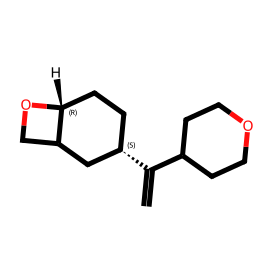 C=C(C1CCOCC1)[C@H]1CC[C@H]2OCC2C1